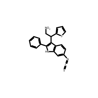 O=[N+]([O-])CC(c1cccs1)c1c(-c2ccccc2)[nH]c2cc(N=C=S)ccc12